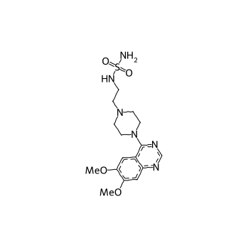 COc1cc2ncnc(N3CCN(CCNS(N)(=O)=O)CC3)c2cc1OC